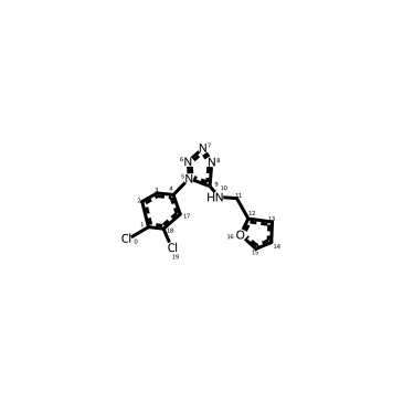 Clc1ccc(-n2nnnc2NCc2ccco2)cc1Cl